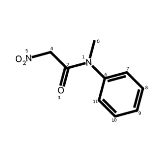 CN(C(=O)C[N+](=O)[O-])c1ccccc1